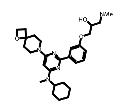 CNCC(O)COc1cccc(-c2nc(N3CCC4(CCO4)CC3)cc(N(C)C3CCCCC3)n2)c1